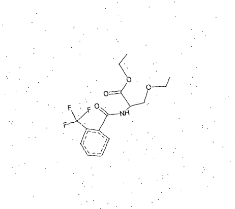 CCOCC(NC(=O)c1ccccc1C(F)(F)F)C(=O)OCC